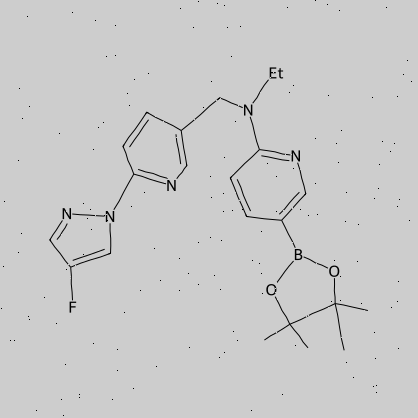 CCN(Cc1ccc(-n2cc(F)cn2)nc1)c1ccc(B2OC(C)(C)C(C)(C)O2)cn1